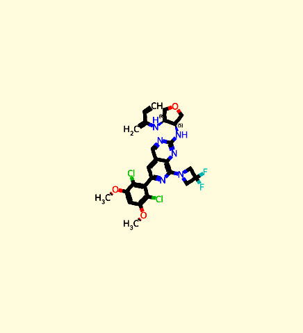 C=CC(=C)N[C@H]1COC[C@H]1Nc1ncc2cc(-c3c(Cl)c(OC)cc(OC)c3Cl)nc(N3CC(F)(F)C3)c2n1